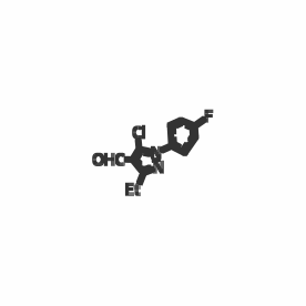 CCc1nn(-c2ccc(F)cc2)c(Cl)c1C=O